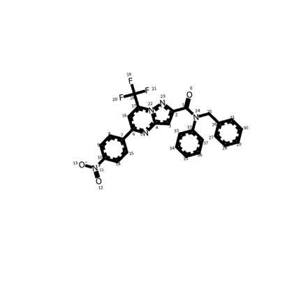 O=C(c1cc2nc(-c3ccc([N+](=O)[O-])cc3)cc(C(F)(F)F)n2n1)N(Cc1ccccc1)c1ccccc1